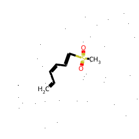 C=C/C=C\C=C\S(C)(=O)=O